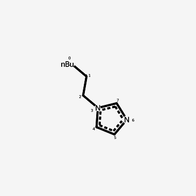 CCCC[CH]Cn1ccnc1